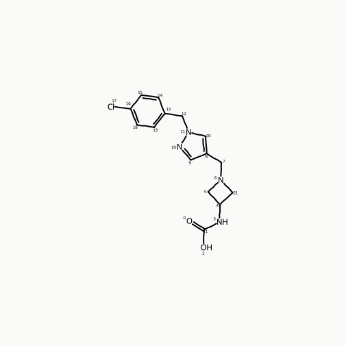 O=C(O)NC1CN(Cc2cnn(Cc3ccc(Cl)cc3)c2)C1